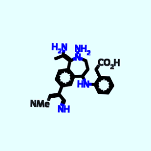 CN/C=C(\C=N)c1ccc2c(c1)C(Nc1ccccc1CC(=O)O)CCN(N)/C2=C(/C)N